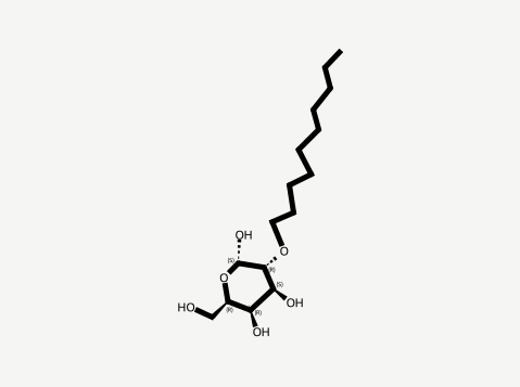 CCCCCCCCCCO[C@@H]1[C@@H](O)[C@@H](O)[C@@H](CO)O[C@@H]1O